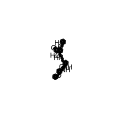 O=C(Nc1cccc(CCNC[C@@H](O)c2ccc(OCc3ccccc3)c3[nH]c(=O)ccc23)c1)Nc1cccc(Oc2ccccc2)c1